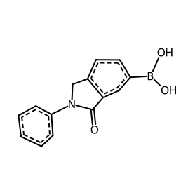 O=C1c2cc(B(O)O)ccc2CN1c1ccccc1